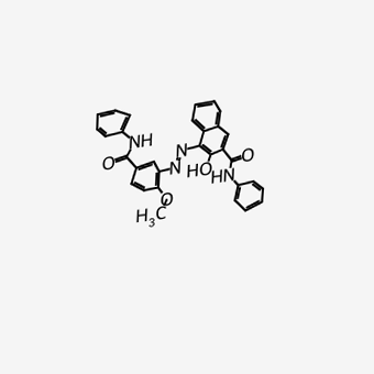 COc1ccc(C(=O)Nc2ccccc2)cc1N=Nc1c(O)c(C(=O)Nc2ccccc2)cc2ccccc12